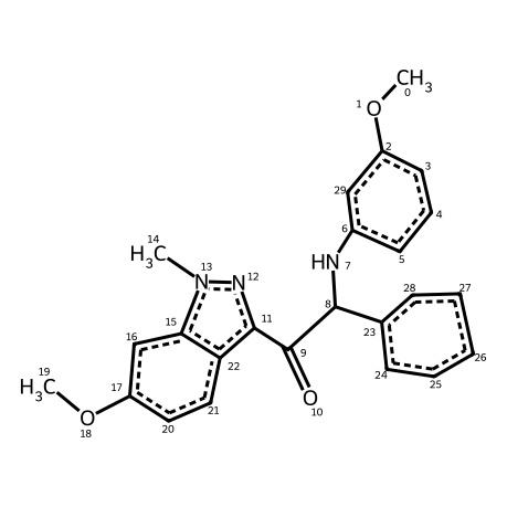 COc1cccc(NC(C(=O)c2nn(C)c3cc(OC)ccc23)c2ccccc2)c1